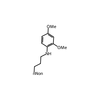 CCCCCCCCCCCCNc1ccc(OC)cc1OC